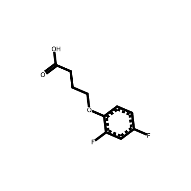 O=C(O)CCCOc1ccc(F)cc1F